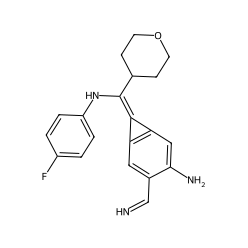 N=Cc1cc2c(cc1N)/C2=C(/Nc1ccc(F)cc1)C1CCOCC1